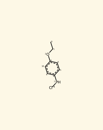 CCOc1ccc(PCl)cc1